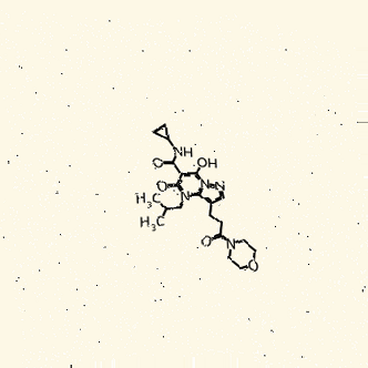 CC(C)Cn1c(=O)c(C(=O)NC2CC2)c(O)n2ncc(CCC(=O)N3CCOCC3)c12